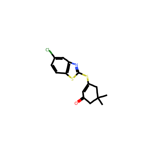 CC1(C)CC(=O)C=C(Sc2nc3cc(Cl)ccc3s2)C1